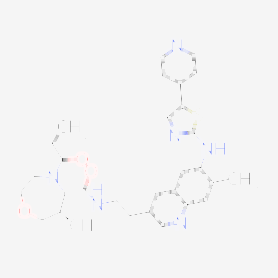 C=CC(=O)N1CCOC[C@H](C)[C@H]1C(=O)NCCc1cnc2cc(C)c(Nc3ncc(-c4ccncc4)s3)cc2c1